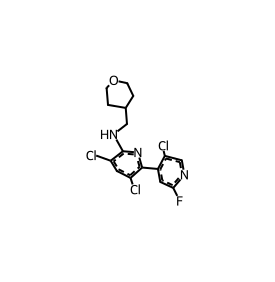 Fc1cc(-c2nc(NCC3CCOCC3)c(Cl)cc2Cl)c(Cl)cn1